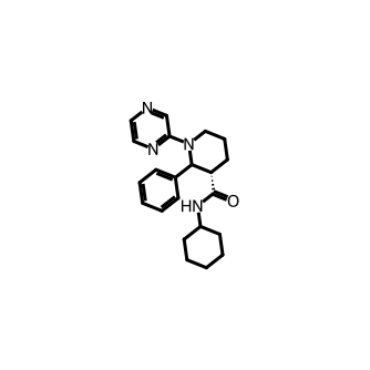 O=C(NC1CCCCC1)[C@H]1CCCN(c2cnccn2)C1c1ccccc1